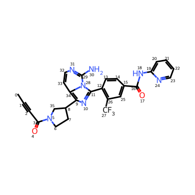 CC#CC(=O)N1CCC(c2nc(-c3ccc(C(=O)Nc4ccccn4)cc3C(F)(F)F)n3c(N)nccc23)C1